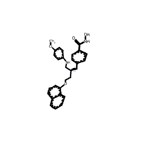 COc1ccc(NC/C(=C\c2ccc(C(=O)NO)cc2)CCOc2cccc3ccccc23)cc1